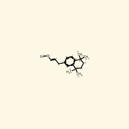 CCOC=C[CH]c1ccc2c(c1)C(C)(C)CCC2(C)C